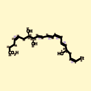 CC/C=C\C[C@@H](O)/C=C/C=C\C=C\C=C\[C@H](O)[C@@H](O)C/C=C\CCC(=O)O